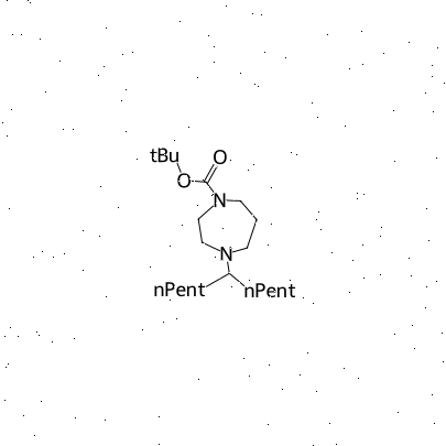 CCCCCC(CCCCC)N1CCCN(C(=O)OC(C)(C)C)CC1